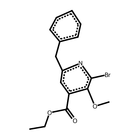 CCOC(=O)c1cc(Cc2ccccc2)nc(Br)c1OC